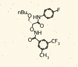 CCCCOC[C@@H](ONC(=O)c1cc(C)cc(C(F)(F)F)c1)C(=O)Nc1ccc(F)cc1